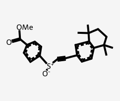 COC(=O)c1ccc([S+]([O-])C#Cc2ccc3c(c2)C(C)(C)CCC3(C)C)cc1